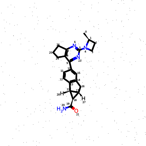 C[C@H]1CCN1c1nc2c(c(-c3ccc4c(c3)C[C@@H]3[C@@H](C(N)=O)[C@H]43)n1)CCC2